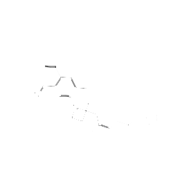 C=C(C)c1cc(F)c(N2CCC2(CC)C/C(C)=C\CCC(=O)O)cc1/C(C)=N\C